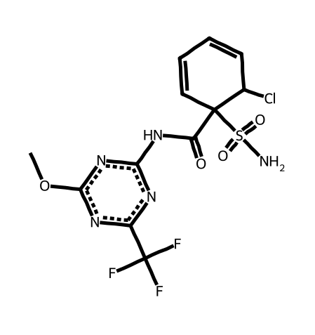 COc1nc(NC(=O)C2(S(N)(=O)=O)C=CC=CC2Cl)nc(C(F)(F)F)n1